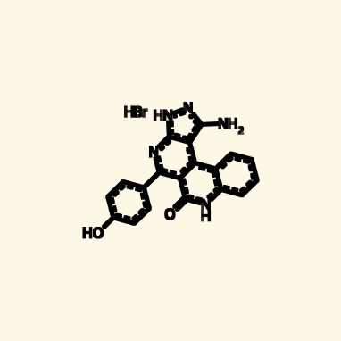 Br.Nc1n[nH]c2nc(-c3ccc(O)cc3)c3c(=O)[nH]c4ccccc4c3c12